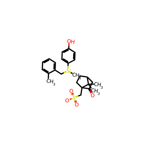 CC1(C)C2CCC1(CS(=O)(=O)[O-])C(=O)C2.Cc1ccccc1C[S+](C)c1ccc(O)cc1